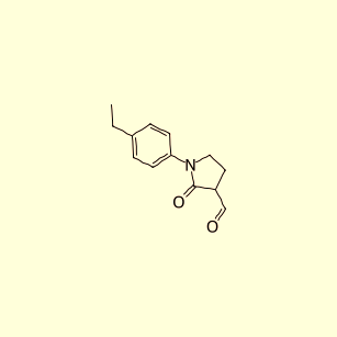 CCc1ccc(N2CCC(C=O)C2=O)cc1